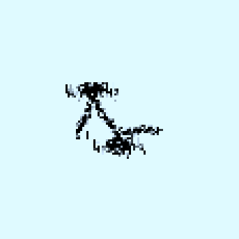 CC(C)(C)c1cc(C(SCCOCCOCCS)SCCOCCOCCSC(SCCOCCOCCS)c2cc(C(C)(C)C)c(O)c(C(C)(C)C)c2)cc(C(C)(C)C)c1O